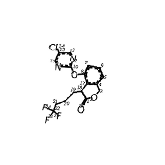 O=C1OCc2cccc(Oc3ncc(Cl)cn3)c2C1CCCC(F)(F)F